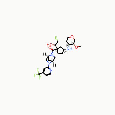 CO[C@@H]1COCC[C@@H]1N[C@@H]1CC[C@@](C(=O)N2C[C@@H]3C[C@H]2CN3c2cc(C(F)(F)F)ccn2)(C(O)CF)C1